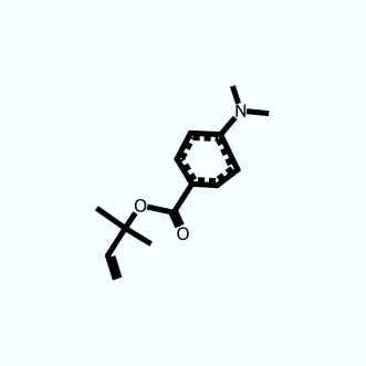 C=CC(C)(C)OC(=O)c1ccc(N(C)C)cc1